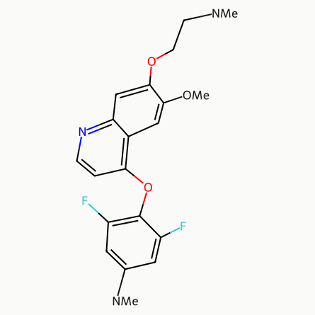 CNCCOc1cc2nccc(Oc3c(F)cc(NC)cc3F)c2cc1OC